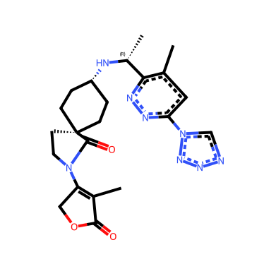 CC1=C(N2CC[C@]3(CC[C@@H](N[C@H](C)c4nnc(-n5cnnn5)cc4C)CC3)C2=O)COC1=O